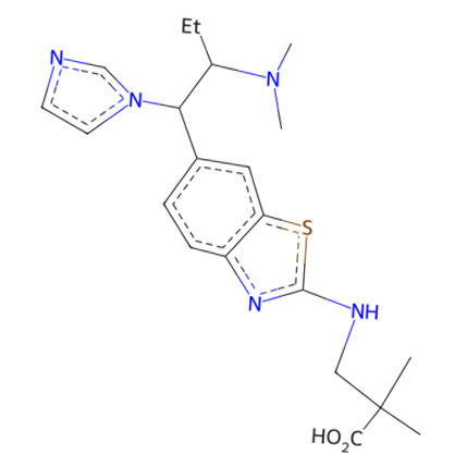 CCC(C(c1ccc2nc(NCC(C)(C)C(=O)O)sc2c1)n1ccnc1)N(C)C